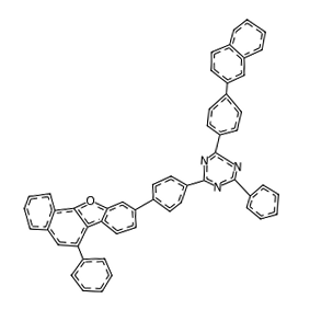 c1ccc(-c2nc(-c3ccc(-c4ccc5ccccc5c4)cc3)nc(-c3ccc(-c4ccc5c(c4)oc4c6ccccc6cc(-c6ccccc6)c54)cc3)n2)cc1